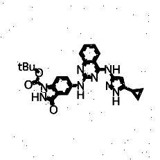 CC(C)(C)OC(=O)n1[nH]c(=O)c2cc(Nc3nc(Nc4cc(C5CC5)[nH]n4)c4ccccc4n3)ccc21